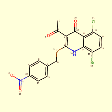 CC(=O)c1c(SCc2ccc([N+](=O)[O-])cc2)[nH]c2c(Br)ccc(Cl)c2c1=O